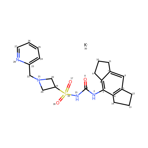 O=C(Nc1c2c(cc3c1CCC3)CCC2)NS(=O)(=O)C1CN(Cc2ccccn2)C1.[K]